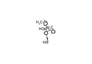 Cc1cc(C(CC(c2cccc(C#CCO)c2)c2ccccc2C)=NO)ccn1